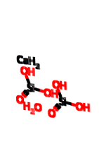 O.O=[Si](O)O.O=[Si](O)O.[CaH2]